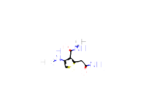 CNC(=O)c1c(NC)csc1CC(N)=O